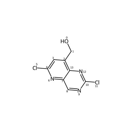 OCc1cc(Cl)nc2cnc(Cl)nc12